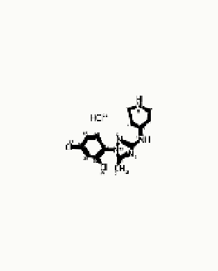 Cc1nc(NC2CCNCC2)nn1-c1ccc(Cl)cc1Cl.Cl